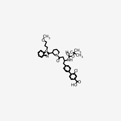 COCCCn1c(C2CCCN(C(=O)CC(Cc3ccc(-c4ccc(C(=O)O)cc4Cl)cc3)NC(=O)OC(C)(C)C)C2)nc2ccccc21